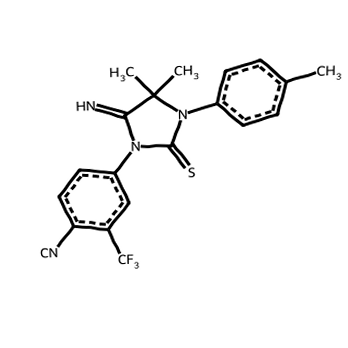 [C-]#[N+]c1ccc(N2C(=N)C(C)(C)N(c3ccc(C)cc3)C2=S)cc1C(F)(F)F